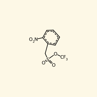 O=[N+]([O-])c1ccccc1CS(=O)(=O)OC(F)(F)F